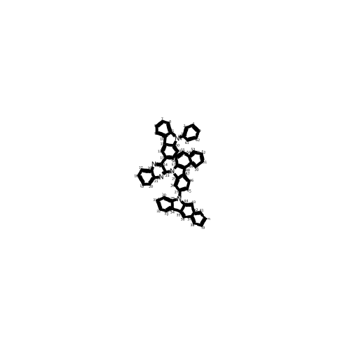 c1ccc(-n2c3ccccc3c3cc(-c4nc5ccccc5nc4-n4c5cc(-n6c7ccccc7c7cc8ccccc8cc76)ccc5c5c6ccccc6ccc54)ccc32)cc1